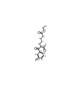 CCOC(=O)CCCCC(C(C)=O)C(=O)c1cccc(F)c1